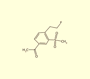 CC(=O)c1ccc(CCF)c(S(C)(=O)=O)c1